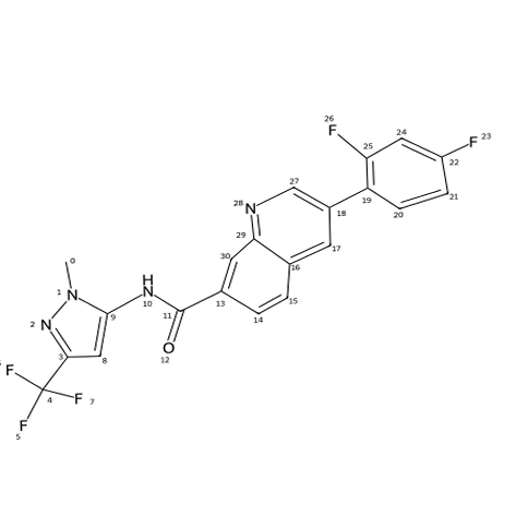 Cn1nc(C(F)(F)F)cc1NC(=O)c1ccc2cc(-c3ccc(F)cc3F)cnc2c1